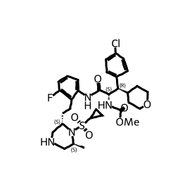 COC(=O)N[C@H](C(=O)Nc1cccc(F)c1CC[C@H]1CNC[C@H](C)N1S(=O)(=O)C1CC1)[C@@H](c1ccc(Cl)cc1)C1CCOCC1